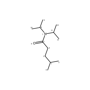 CC(C)CCC(=O)N(C(C)C)C(C)C